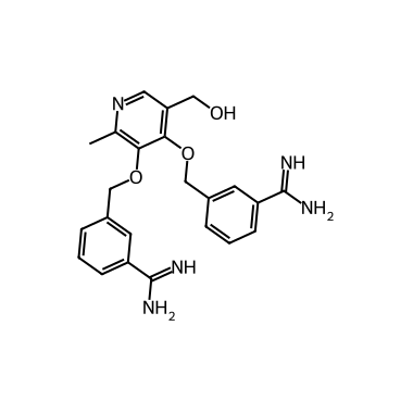 Cc1ncc(CO)c(OCc2cccc(C(=N)N)c2)c1OCc1cccc(C(=N)N)c1